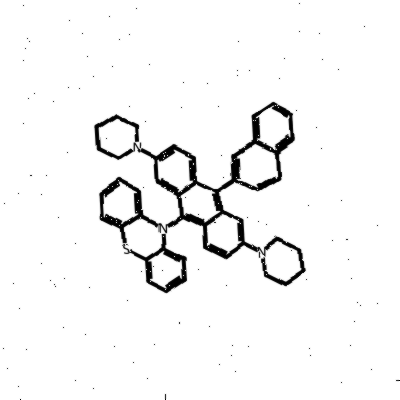 c1ccc2c(c1)Sc1ccccc1N2c1c2ccc(N3CCCCC3)cc2c(-c2ccc3ccccc3c2)c2ccc(N3CCCCC3)cc12